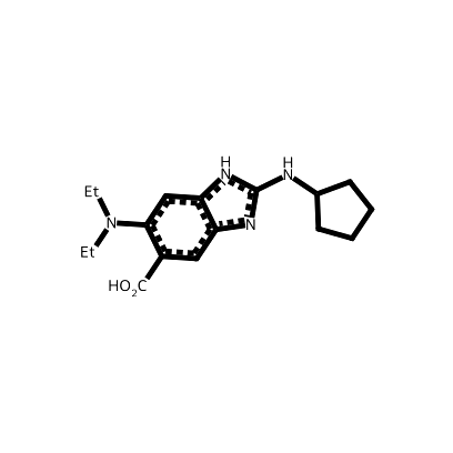 CCN(CC)c1cc2[nH]c(NC3CCCC3)nc2cc1C(=O)O